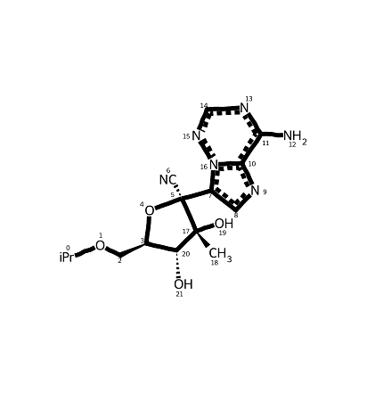 CC(C)OC[C@H]1O[C@@](C#N)(c2cnc3c(N)ncnn23)[C@](C)(O)[C@@H]1O